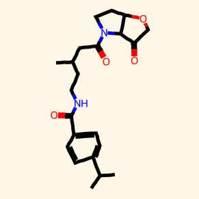 CC(CCNC(=O)c1ccc(C(C)C)cc1)CC(=O)N1CCC2OCC(=O)C21